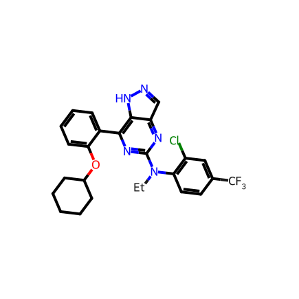 CCN(c1nc(-c2ccccc2OC2CCCCC2)c2[nH]ncc2n1)c1ccc(C(F)(F)F)cc1Cl